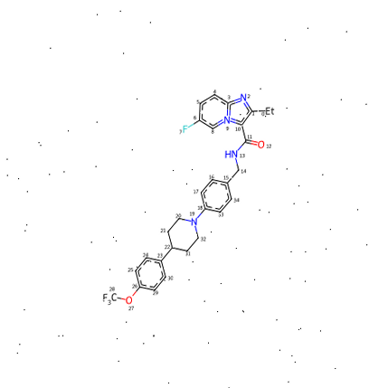 CCc1nc2ccc(F)cn2c1C(=O)NCc1ccc(N2CCC(c3ccc(OC(F)(F)F)cc3)CC2)cc1